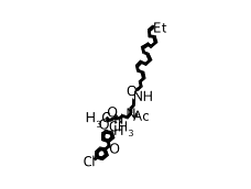 CC/C=C\C/C=C\C/C=C\C/C=C\C/C=C\C/C=C\CCC(=O)NCCCN(CCNC(=O)C(C)(C)Oc1ccc(C(=O)c2ccc(Cl)cc2)cc1)C(C)=O